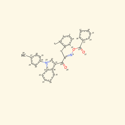 Cc1ccccc1C/C(=N\OC(=O)c1ccccc1)C(=O)c1cn(-c2ccc(C#N)cc2)c2ccccc12